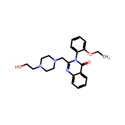 CCOc1ccccc1-n1c(CN2CCN(CCO)CC2)nc2ccccc2c1=O